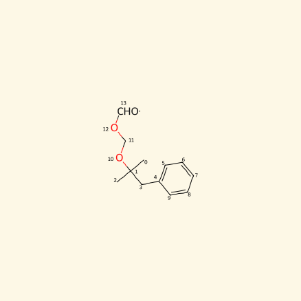 CC(C)(Cc1ccccc1)OCO[C]=O